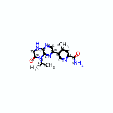 Cc1cc(C(N)=O)ncc1-c1cnc2c(n1)N(C(C)C)C(=O)CN2